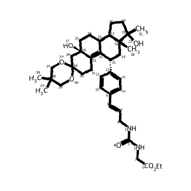 CCOC(=O)CNC(=O)NC/C=C/c1ccc([C@H]2CC3(C)C(CCC3(C)O)C3CC[C@@]4(O)CC5(CCC4=C32)OCC(C)(C)CO5)cc1